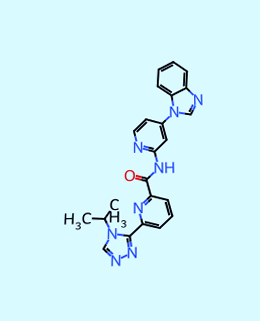 CC(C)n1cnnc1-c1cccc(C(=O)Nc2cc(-n3cnc4ccccc43)ccn2)n1